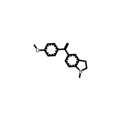 C=C(c1ccc(OC)cc1)c1ccc2c(c1)CCN2C